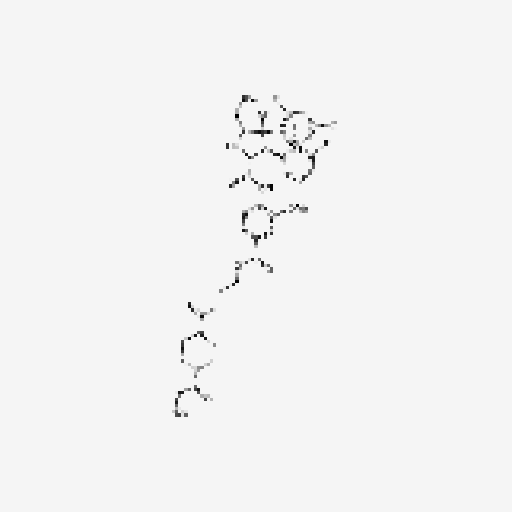 COc1cc(C(=O)OCCOC(=O)N2CCN(C(=O)OC(C)(C)C)CC2)ccc1NC(=O)[C@@H]1N[C@@H](CC(C)(C)C)[C@](C#N)(c2ccc(Cl)cc2F)[C@H]1c1cccc(Cl)c1F